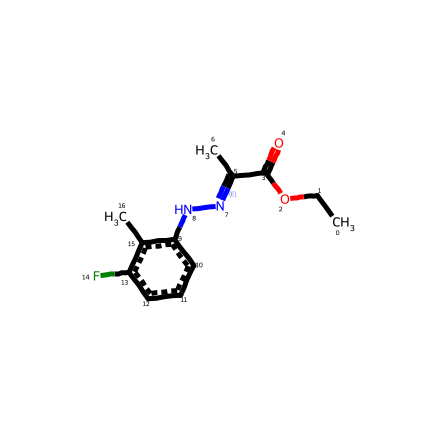 CCOC(=O)/C(C)=N/Nc1cccc(F)c1C